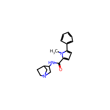 Cn1c(C(=O)NC2CN3CCC2C3)ccc1-c1ccccc1